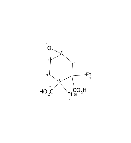 CCC1(C(=O)O)CC2OC2CC1(CC)C(=O)O